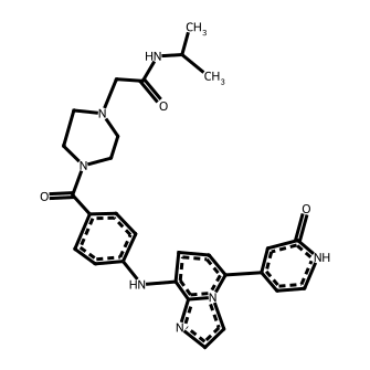 CC(C)NC(=O)CN1CCN(C(=O)c2ccc(Nc3ccc(-c4cc[nH]c(=O)c4)n4ccnc34)cc2)CC1